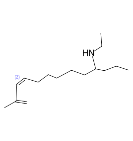 C=C(C)/C=C\CCCCCC(CCC)NCC